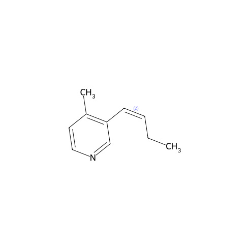 CC/C=C\c1cnccc1C